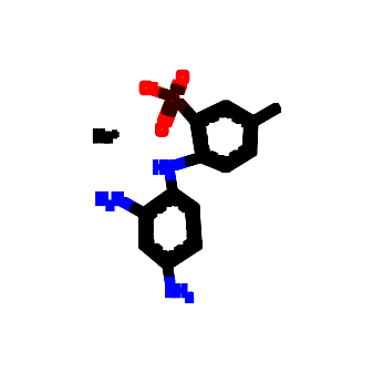 Cc1ccc(Nc2ccc(N)cc2N)c(S(=O)(=O)[O-])c1.[Na+]